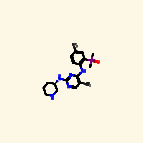 CP(C)(=O)c1cc(C(F)(F)F)ccc1Nc1nc(N[C@H]2CCCNC2)ncc1C(F)(F)F